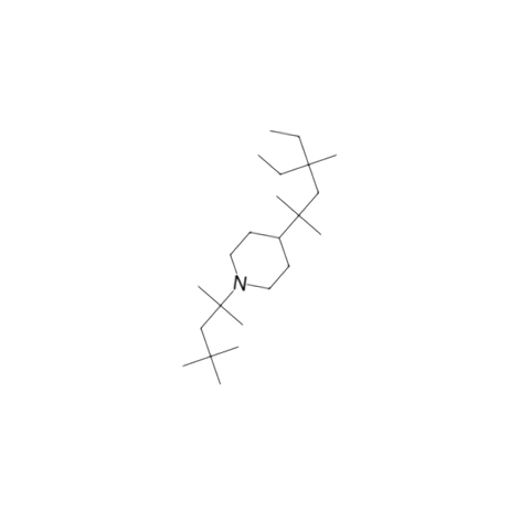 CCC(C)(CC)CC(C)(C)C1CCN(C(C)(C)CC(C)(C)C)CC1